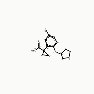 CCc1ccc(O[C@H]2CCOC2)c(C2(C(=O)OC)CC2)c1